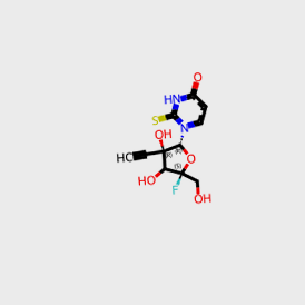 C#C[C@@]1(O)C(O)[C@@](F)(CO)O[C@H]1n1ccc(=O)[nH]c1=S